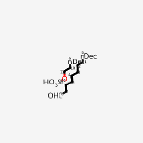 CCCCCCCCCCCCCCCCCC=O.CCCCCCCCCCCCOS(=O)(=O)O